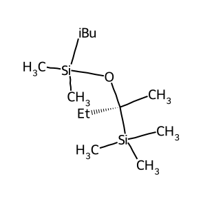 CCC(C)[Si](C)(C)O[C@](C)(CC)[Si](C)(C)C